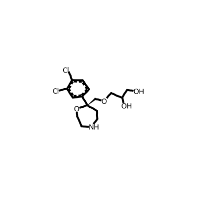 OCC(O)COC[C@@]1(c2ccc(Cl)c(Cl)c2)CCNCCO1